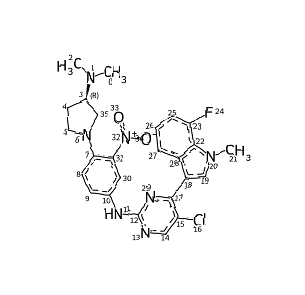 CN(C)[C@@H]1CCN(c2ccc(Nc3ncc(Cl)c(-c4cn(C)c5c(F)cccc45)n3)cc2[N+](=O)[O-])C1